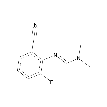 CN(C)C=Nc1c(F)cccc1C#N